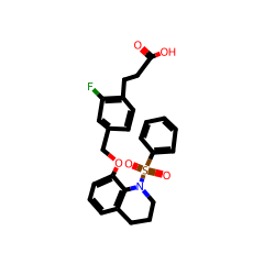 O=C(O)CCc1ccc(COc2cccc3c2N(S(=O)(=O)c2ccccc2)CCC3)cc1F